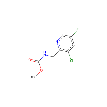 CC(C)(C)OC(=O)NCc1ncc(F)cc1Cl